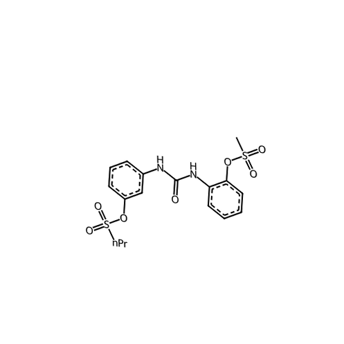 CCCS(=O)(=O)Oc1cccc(NC(=O)Nc2ccccc2OS(C)(=O)=O)c1